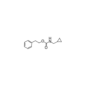 O=C(NCC1CC1)OCCc1ccccc1